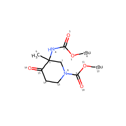 CC(C)(C)OC(=O)NC1(C)CN(C(=O)OC(C)(C)C)CCC1=O